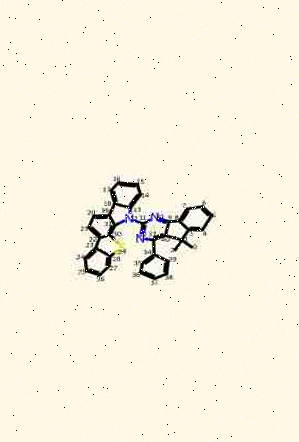 CC1(C)c2ccccc2-c2nc(-n3c4ccccc4c4ccc5c6ccccc6sc5c43)nc(-c3ccccc3)c21